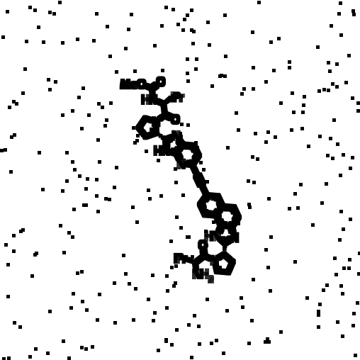 COC(=O)N[C@H](C(=O)N1CCC[C@H]1c1nc2ccc(C#Cc3ccc4c(ccc5nc([C@@H]6CCCN6C(=O)[C@@H](N)C(C)C)[nH]c54)c3)nc2[nH]1)C(C)C